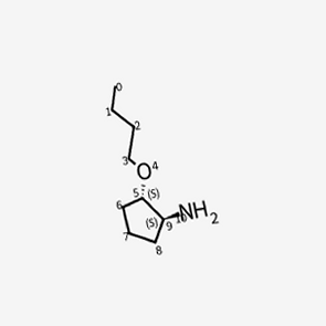 CCCCO[C@H]1CCC[C@@H]1N